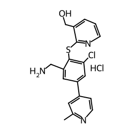 Cc1cc(-c2cc(Cl)c(Sc3ncccc3CO)c(CN)c2)ccn1.Cl